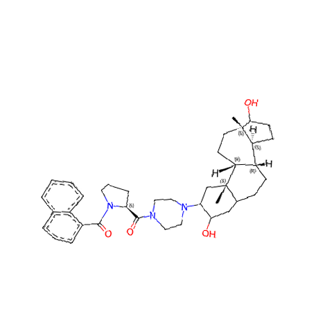 C[C@]12CC(N3CCN(C(=O)[C@@H]4CCCN4C(=O)c4cccc5ccccc45)CC3)C(O)CC1CC[C@@H]1[C@H]2CC[C@]2(C)C(O)CC[C@@H]12